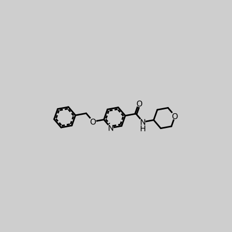 O=C(NC1CCOCC1)c1ccc(OCc2ccccc2)nc1